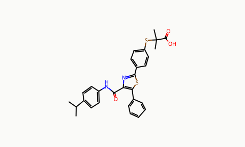 CC(C)c1ccc(NC(=O)c2nc(-c3ccc(SC(C)(C)C(=O)O)cc3)sc2-c2ccccc2)cc1